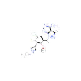 CCOC1=C(C2CN(CC(F)(F)F)C2)C(F)C(Cl)C=C1C(C)n1nc(C)c2c(N)ncnc21